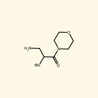 CC(C)(C)C(CN)C(=O)N1CCOCC1